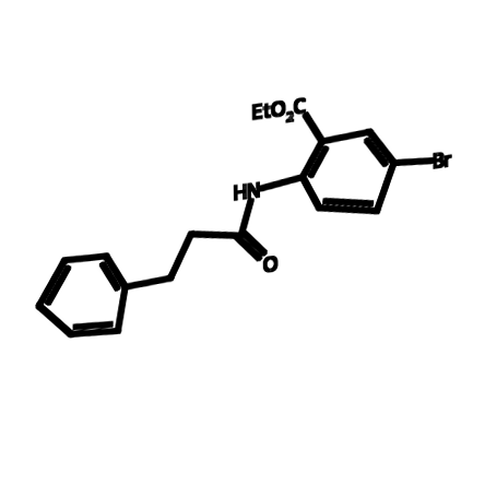 CCOC(=O)c1cc(Br)ccc1NC(=O)CCc1ccccc1